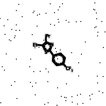 CCc1sc(-c2ccc(C(F)(F)F)cc2)nc1C(C)C